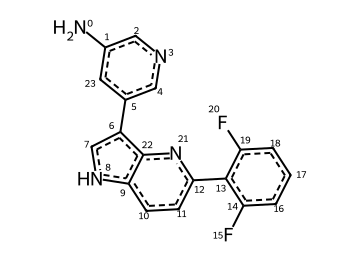 Nc1cncc(-c2c[nH]c3ccc(-c4c(F)cccc4F)nc23)c1